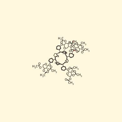 CC(=O)O[C@@H]1[C@@H](OC(C)=O)[C@H](Oc2cccc(-c3c4nc(c(-c5cccc(O[C@@H]6OC[C@@H](OC(C)=O)[C@H](OC(C)=O)[C@H]6OC(C)=O)c5)c5ccc([nH]5)c(-c5cccc(O[C@@H]6OC[C@@H](OC(C)=O)[C@H](OC(C)=O)[C@H]6OC(C)=O)c5)c5nc(c(-c6cccc(O[C@@H]7OC[C@@H](OC(C)=O)[C@H](OC(C)=O)[C@H]7OC(C)=O)c6)c6ccc3[nH]6)CC5)CC4)c2)OC[C@H]1OC(C)=O